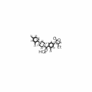 CC[C@@H]1COC(=O)N1c1ccc(C(=O)N2CCN(c3ncc(C)cc3C)CC2)c(C)c1.Cl